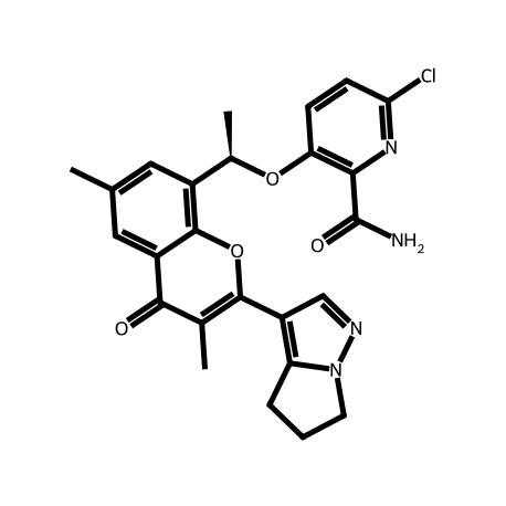 Cc1cc([C@@H](C)Oc2ccc(Cl)nc2C(N)=O)c2oc(-c3cnn4c3CCC4)c(C)c(=O)c2c1